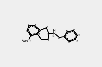 COc1cccc2c1CCC(NCc1ccccc1)C2